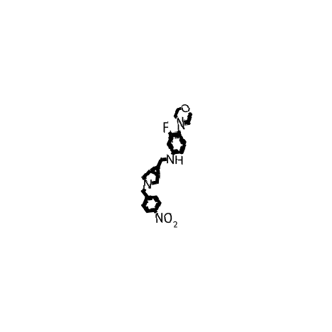 O=[N+]([O-])c1ccc(CN2CC3C(CNc4ccc(N5CCOCC5)c(F)c4)C3C2)cc1